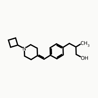 CC(CO)Cc1ccc(C=C2CCN(C3CCC3)CC2)cc1